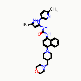 Cc1ccc(-n2nc(C(C)(C)C)cc2NC(=O)Nc2ccc(N3CCC(CN4CCOCC4)CC3)c3ccccc23)cn1